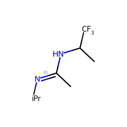 C/C(=N\C(C)C)NC(C)C(F)(F)F